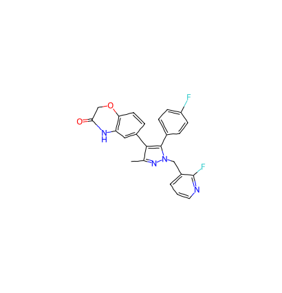 Cc1nn(Cc2cccnc2F)c(-c2ccc(F)cc2)c1-c1ccc2c(c1)NC(=O)CO2